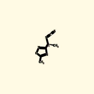 Cc1nc([C@@H](C)N=C=S)no1